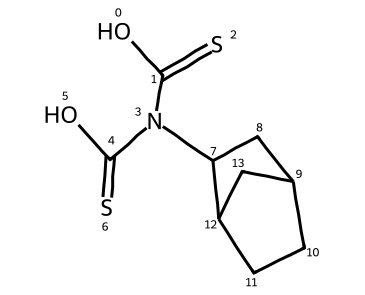 OC(=S)N(C(O)=S)C1CC2CCC1C2